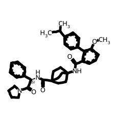 COc1cccc(C(=O)NC23CCC(C(=O)N[C@H](C(=O)N4CCCC4)c4ccccc4)(CC2)CC3)c1-c1ccc(C(C)C)cc1